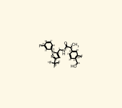 CC(C(=O)NCc1cc(C(F)(F)F)nn1-c1cccc(F)c1)c1ccc(CO)c(F)c1